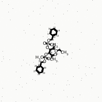 CCOC(=O)[C@H](OP(C)(=O)OCc1ccccc1)[C@@H](OP(C)(=O)OCc1ccccc1)C(C)=O